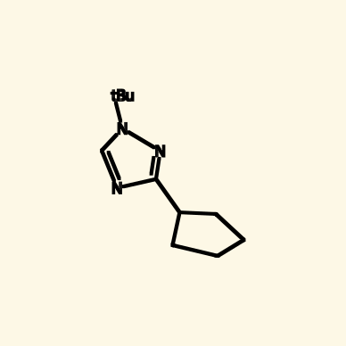 CC(C)(C)n1cnc(C2CCCC2)n1